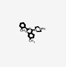 CC(=O)N1CCN(c2nc(-c3ccccc3O)nc3cc(C)ccc23)CC1